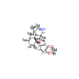 [2H]c1c([2H])c([C@@H]2C([2H])([2H])C([2H])([2H])NCC2([2H])C([2H])([2H])Oc2ccc3c(c2)OC([2H])([2H])O3)c([2H])c([2H])c1F